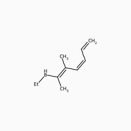 C=C/C=C\C(C)=C(/C)BCC